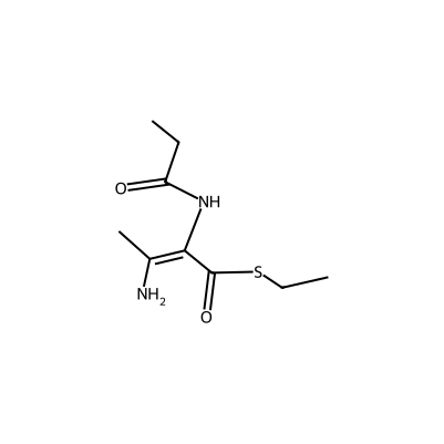 CCSC(=O)C(NC(=O)CC)=C(C)N